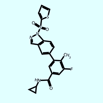 Cc1c(F)cc(C(=O)NC2CC2)cc1-c1ccc2c(cnn2S(=O)(=O)c2cccs2)c1